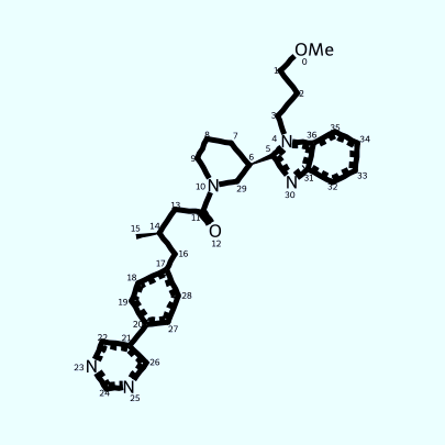 COCCCn1c([C@@H]2CCCN(C(=O)C[C@H](C)Cc3ccc(-c4cncnc4)cc3)C2)nc2ccccc21